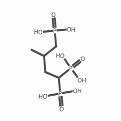 CC(CC(P(=O)(O)O)P(=O)(O)O)CP(=O)(O)O